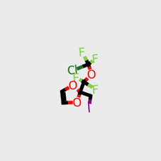 FC(F)(Cl)OC(F)(F)C1(CI)OC=CO1